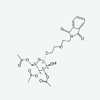 CC(=O)OC[C@H]1O[C@H](OCCOCCN2C(=O)c3ccccc3C2=O)[C@@H](O)[C@@H](OC(C)=O)[C@@H]1OC(C)=O